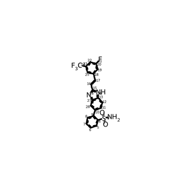 NS(=O)(=O)c1ccccc1-c1ccc2[nH]c(C=Cc3cc(F)cc(C(F)(F)F)c3)nc2c1